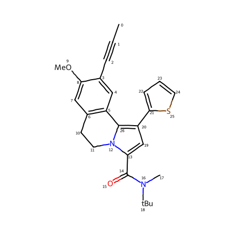 CC#Cc1cc2c(cc1OC)CCn1c(C(=O)N(C)C(C)(C)C)cc(-c3cccs3)c1-2